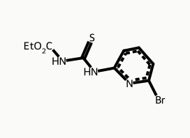 CCOC(=O)NC(=S)Nc1cccc(Br)n1